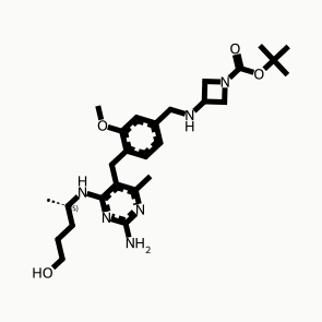 COc1cc(CNC2CN(C(=O)OC(C)(C)C)C2)ccc1Cc1c(C)nc(N)nc1N[C@@H](C)CCCO